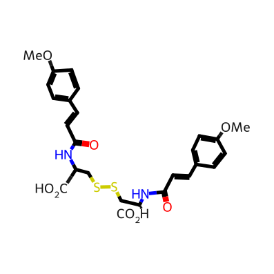 COc1ccc(C=CC(=O)NC(CSSC[C@H](NC(=O)C=Cc2ccc(OC)cc2)C(=O)O)C(=O)O)cc1